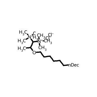 CCCCCCCCCCCCCCCCOC(C)C([N+](C)(C)C)[N+](C)(C)C.[Cl-].[Cl-]